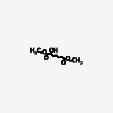 CCOC(=O)CCCCC(O)C(=O)OCC